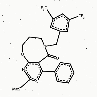 CSc1nc2c(c(-c3ccccc3)n1)C(=O)N(Cc1cc(C(F)(F)F)cc(C(F)(F)F)c1)CCCO2